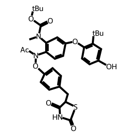 CC(=O)N(Oc1ccc(CC2SC(=O)NC2=O)cc1)c1ccc(Oc2ccc(O)cc2C(C)(C)C)cc1N(C)C(=O)OC(C)(C)C